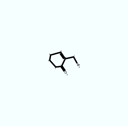 O=C1CCCC=C1CBr